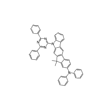 CC1(C)c2cc(N(c3ccccc3)c3ccccc3)ccc2-c2cc3c4ccccc4n(-c4nc(-c5ccccc5)nc(-c5ccccc5)n4)c3cc21